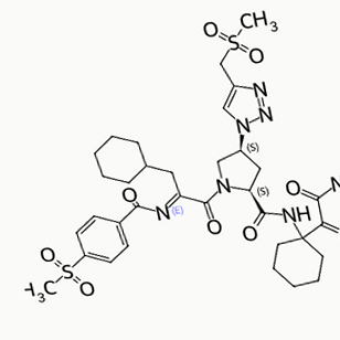 CS(=O)(=O)Cc1cn([C@H]2C[C@@H](C(=O)NC3(C(=O)C(N)=O)CCCCC3)N(C(=O)/C(CC3CCCCC3)=N/C(=O)c3ccc(S(C)(=O)=O)cc3)C2)nn1